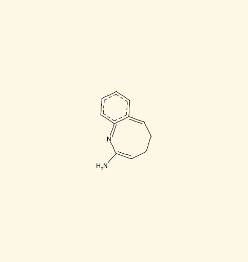 NC1=C\CC/C=c2/cccc/c2=N/1